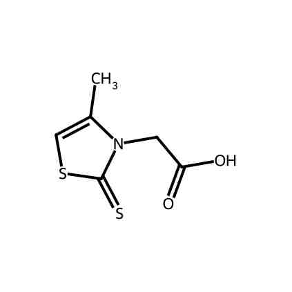 Cc1csc(=S)n1CC(=O)O